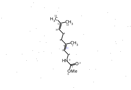 COC(=O)NC/C=C(\C)CCC=C(C)C